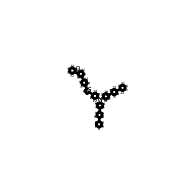 c1ccc(-c2ccc(-c3ccc(N(c4ccc(-c5ccc(-c6ccccc6)cc5)cc4)c4ccc(-c5ccc(-c6ccc(-c7ccc8oc9ccccc9c8c7)cc6)s5)cc4)cc3)cc2)cc1